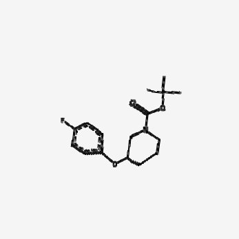 CC(C)(C)OC(=O)N1CCCC(Oc2ccc(F)cc2)C1